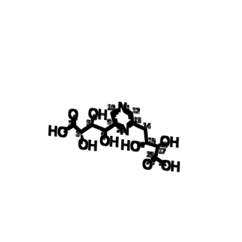 O=C(O)[C@@H](O)[C@@H](O)[C@H](O)c1cncc(C[C@H](O)[C@H](O)C(=O)O)n1